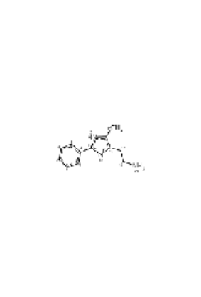 Cc1[nH]c(-c2ccccc2)nc1CCN